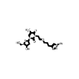 CCCn1cc(CCCOCCn2c(=O)c(C)cn(C3CC(O)[C@@H](CO)S3)c2=O)nn1